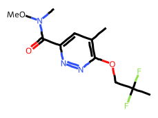 CON(C)C(=O)c1cc(C)c(OCC(C)(F)F)nn1